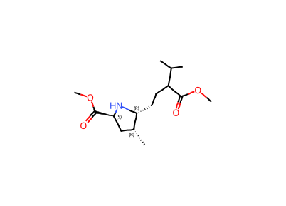 COC(=O)C(CC[C@H]1N[C@H](C(=O)OC)C[C@H]1C)C(C)C